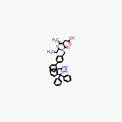 CCc1nc(C)c(CC(=O)O)c(=O)n1Cc1ccc(-c2ccccc2-c2nnnn2C(c2ccccc2)(c2ccccc2)c2ccccc2)cc1